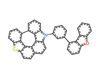 c1cc(-c2cccc3oc4ccccc4c23)cc(-n2c3cccc4c3c3c5c(ccc6sc7cccc-4c7c65)ccc32)c1